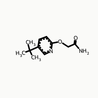 CC(C)(C)c1ccc(OCC(N)=O)nc1